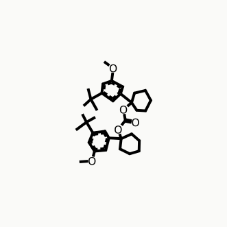 COc1cc(C(C)(C)C)cc(C2(OC(=O)OC3(c4cc(OC)cc(C(C)(C)C)c4)CCCCC3)CCCCC2)c1